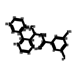 CC(NC(=O)c1cc(I)cc(I)c1)c1nccnc1-c1cnccn1